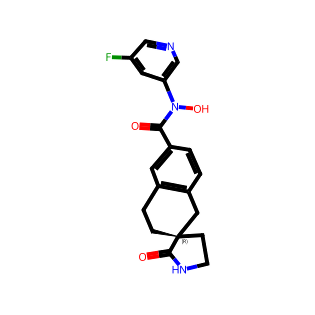 O=C(c1ccc2c(c1)CC[C@]1(CCNC1=O)C2)N(O)c1cncc(F)c1